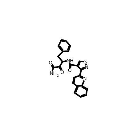 NC(=O)C(=O)C(Cc1ccccc1)NC(=O)c1csnc1-c1ccc2ccccc2n1